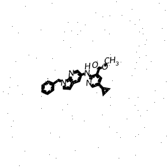 COC(=O)c1cc(C2CC2)cnc1Nc1cnc2c(ccn2Cc2ccccc2)c1